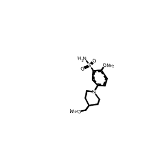 COCC1CCN(c2ccc(OC)c(S(N)(=O)=O)c2)CC1